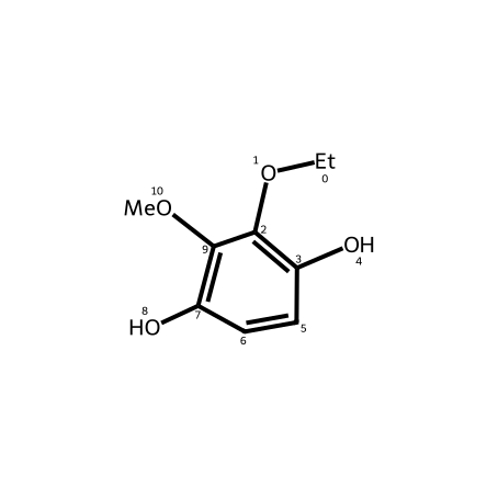 CCOc1c(O)ccc(O)c1OC